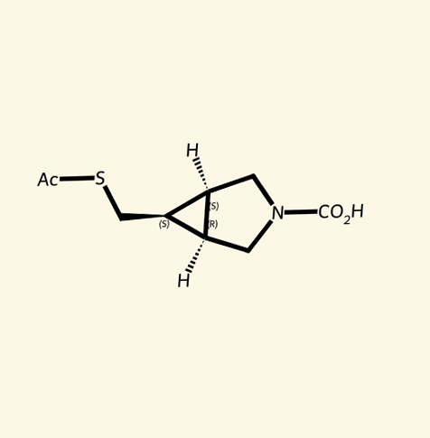 CC(=O)SC[C@H]1[C@H]2CN(C(=O)O)C[C@@H]12